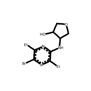 CCc1nc(NC2COCC2O)c(CC)nc1Br